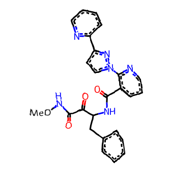 CONC(=O)C(=O)C(Cc1ccccc1)NC(=O)c1cccnc1-n1ccc(-c2ccccn2)n1